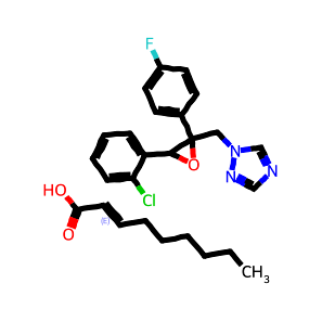 CCCCCC/C=C/C(=O)O.Fc1ccc(C2(Cn3cncn3)OC2c2ccccc2Cl)cc1